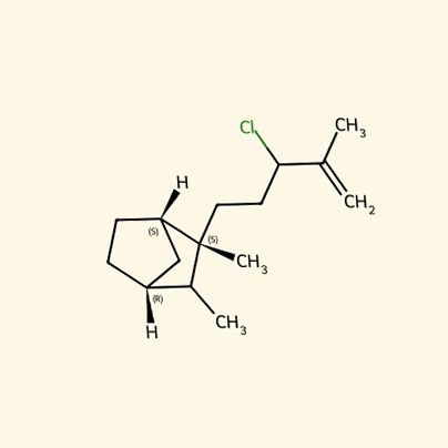 C=C(C)C(Cl)CC[C@]1(C)C(C)[C@@H]2CC[C@H]1C2